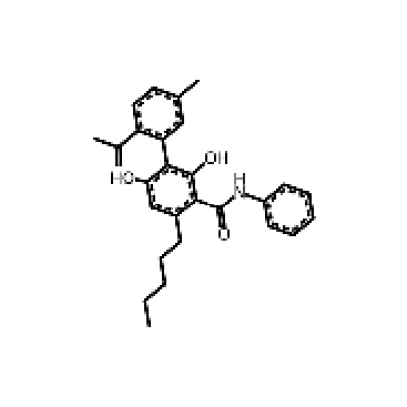 C=C(C)c1ccc(C)cc1-c1c(O)cc(CCCCC)c(C(=O)Nc2ccccc2)c1O